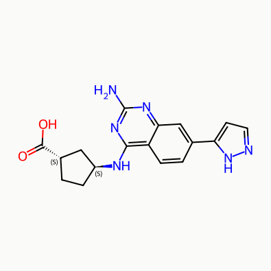 Nc1nc(N[C@H]2CC[C@H](C(=O)O)C2)c2ccc(-c3ccn[nH]3)cc2n1